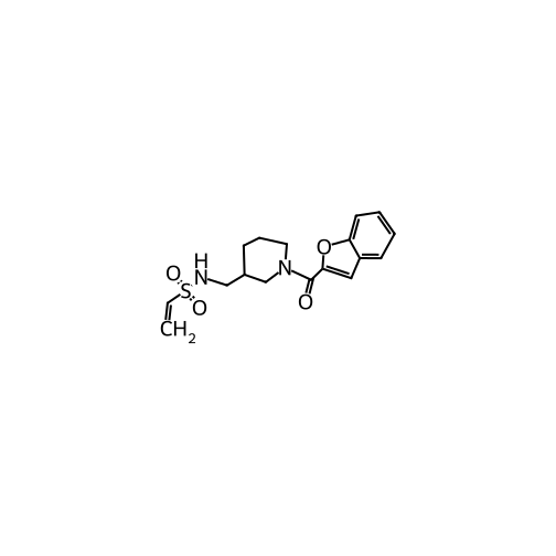 C=CS(=O)(=O)NCC1CCCN(C(=O)c2cc3ccccc3o2)C1